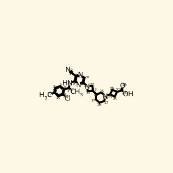 Cc1ccc(C(C)Nc2nc(N3CC(C4CCCN(C5CC(C(=O)O)C5)C4)C3)cnc2C#N)c(Cl)c1